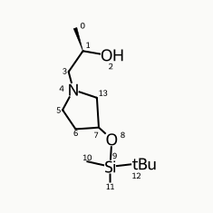 C[C@@H](O)CN1CCC(O[Si](C)(C)C(C)(C)C)C1